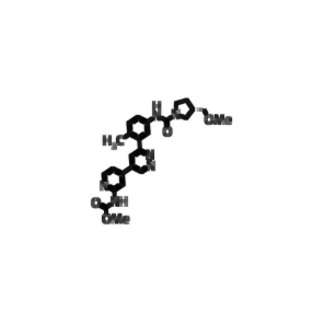 COC[C@H]1CCN(C(=O)Nc2ccc(C)c(-c3cc(-c4ccnc(NC(=O)OC)c4)cnn3)c2)C1